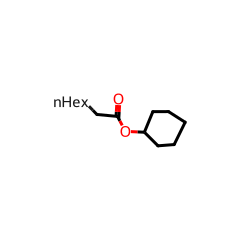 [CH2]CCCCCCC(=O)OC1CCCCC1